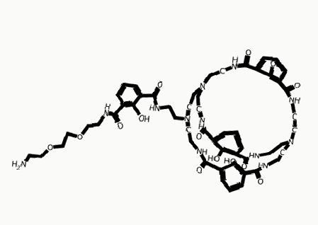 NCCOCCOCCNC(=O)c1cccc(C(=O)NCCN2CCNC(=O)c3cccc(c3O)C(=O)NCCN3CCNC(=O)c4cccc(c4O)C(=O)NCCN(CCNC(=O)c4cccc(c4O)C(=O)NCC3)CC2)c1O